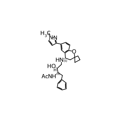 CC(=O)N[C@@H](Cc1ccccc1)[C@H](O)CN[C@H]1CC2(CCC2)Oc2ccc(-c3ccn(C)n3)cc21